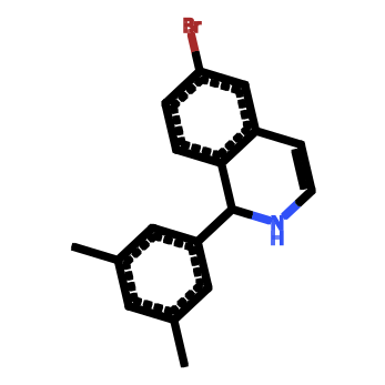 Cc1cc(C)cc(C2NC=Cc3cc(Br)ccc32)c1